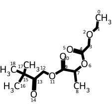 CCOCC(=O)OC(C)C(=O)OCC(=O)C(C)(C)C